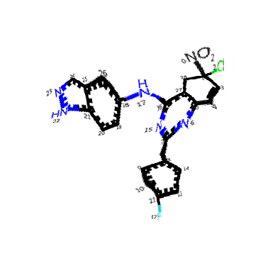 O=[N+]([O-])C1(Cl)C=Cc2nc(-c3ccc(F)cc3)nc(Nc3ccc4[nH]ncc4c3)c2C1